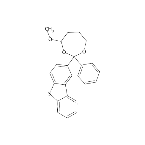 COC1CCCOC(c2ccccc2)(c2ccc3sc4ccccc4c3c2)O1